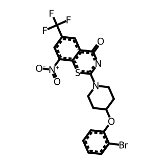 O=c1nc(N2CCC(Oc3ccccc3Br)CC2)sc2c([N+](=O)[O-])cc(C(F)(F)F)cc12